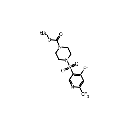 CCc1cc(C(F)(F)F)ncc1S(=O)(=O)N1CCN(C(=O)OC(C)(C)C)CC1